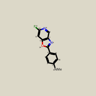 CNc1ccc(-c2nc3cnc(F)cc3o2)cc1